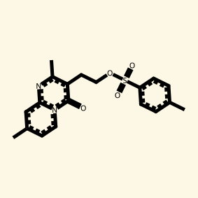 Cc1ccc(S(=O)(=O)OCCc2c(C)nc3cc(C)ccn3c2=O)cc1